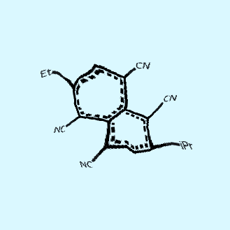 CCc1cc(C#N)c2c(C#N)c(C(C)C)cc(C#N)c2c1C#N